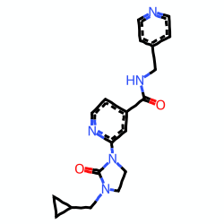 O=C(NCc1ccncc1)c1ccnc(N2CCN(CC3CC3)C2=O)c1